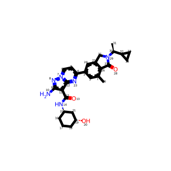 Cc1cc(-c2ccn3nc(N)c(C(=O)N[C@H]4CCC[C@@H](O)C4)c3n2)cc2c1C(=O)N([C@@H](C)C1CC1)C2